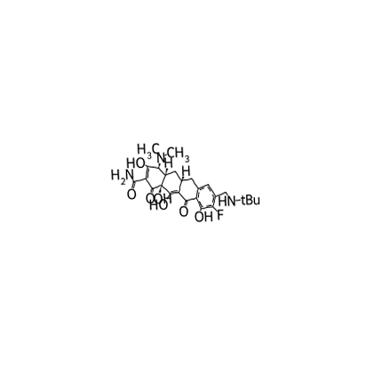 CN(C)[C@@H]1C(O)=C(C(N)=O)C(=O)[C@@]2(O)C(O)=C3C(=O)c4c(cc(CNC(C)(C)C)c(F)c4O)C[C@H]3C[C@@H]12